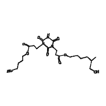 CCC(C)CCCCOC(=O)CCn1c(=O)[nH]c(=O)n(CCC(=O)OCCCCC(C)CO)c1=O